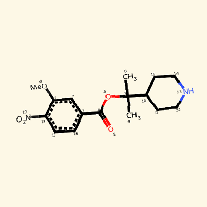 COc1cc(C(=O)OC(C)(C)C2CCNCC2)ccc1[N+](=O)[O-]